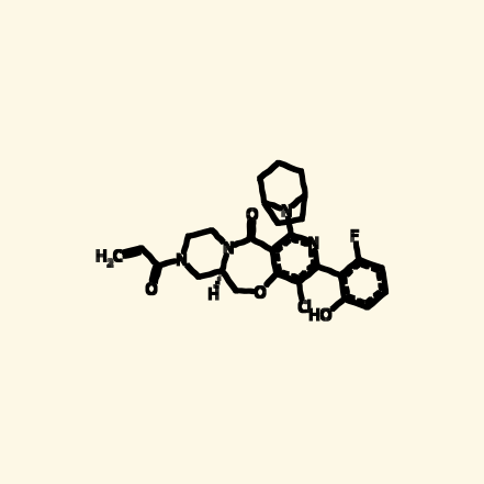 C=CC(=O)N1CCN2C(=O)c3c(N4C5CCCC4CC5)nc(-c4c(O)cccc4F)c(Cl)c3OC[C@H]2C1